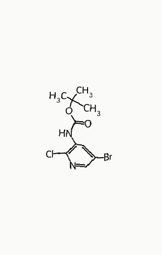 CC(C)(C)OC(=O)Nc1cc(Br)cnc1Cl